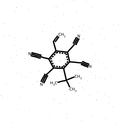 C=Cc1c(C#N)c(C#N)c(C(C)(C)C)c(C#N)c1C#N